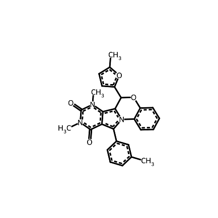 Cc1cccc(-c2c3c(=O)n(C)c(=O)n(C)c3c3n2-c2ccccc2OC3c2ccc(C)o2)c1